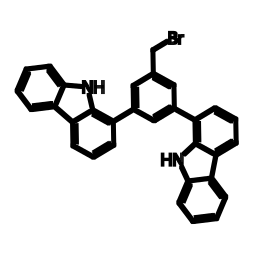 BrCc1cc(-c2cccc3c2[nH]c2ccccc23)cc(-c2cccc3c2[nH]c2ccccc23)c1